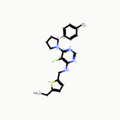 O=C(O)Cc1ccc(CNc2ncnc(N3CCC[C@@H]3c3ccc(C(F)(F)F)cc3)c2F)s1